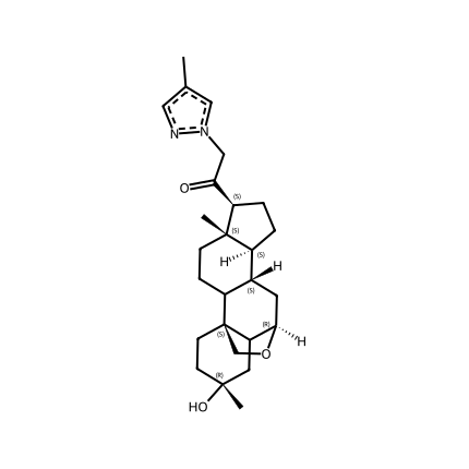 Cc1cnn(CC(=O)[C@H]2CC[C@H]3[C@@H]4C[C@H]5OC[C@@]6(CC[C@@](C)(O)CC56)C4CC[C@]23C)c1